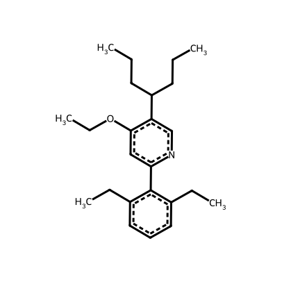 CCCC(CCC)c1cnc(-c2c(CC)cccc2CC)cc1OCC